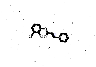 O=C(/C=C/c1ccccc1)Oc1cccc(Cl)c1Br